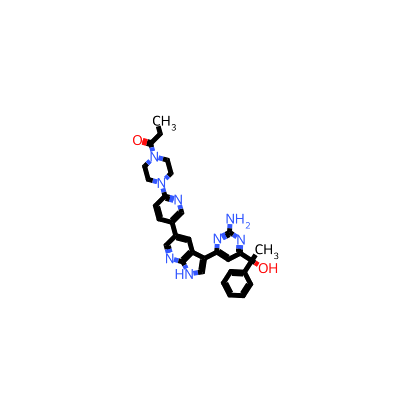 CCC(=O)N1CCN(c2ccc(-c3cnc4[nH]cc(-c5cc(C(C)(O)c6ccccc6)nc(N)n5)c4c3)cn2)CC1